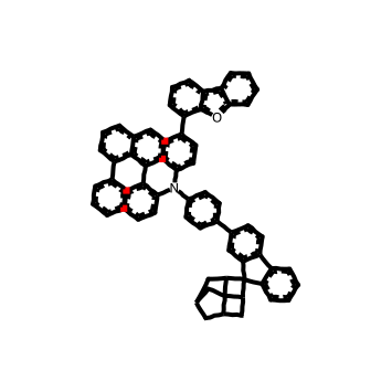 c1ccc(-c2cccc3cccc(-c4ccccc4N(c4ccc(-c5ccc6c(c5)C5(c7ccccc7-6)C6CC7CC8CC5C86C7)cc4)c4ccc(-c5cccc6c5oc5ccccc56)cc4)c23)cc1